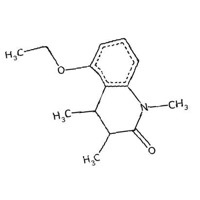 CCOc1cccc2c1C(C)C(C)C(=O)N2C